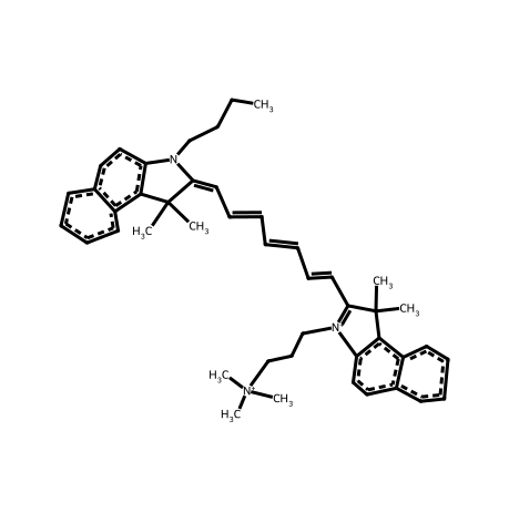 CCCCN1/C(=C/C=C/C=C/C=C/C2=[N+](CCC[N+](C)(C)C)c3ccc4ccccc4c3C2(C)C)C(C)(C)c2c1ccc1ccccc21